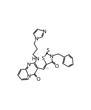 O=C1/C(=C/c2c(NCCCn3ccnc3)nc3ccccn3c2=O)SC(=S)N1Cc1ccccc1